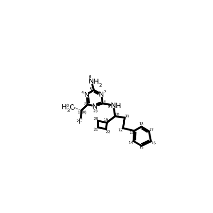 C[C@@H](F)c1nc(N)nc(NC(CCc2ccccc2)C2CCC2)n1